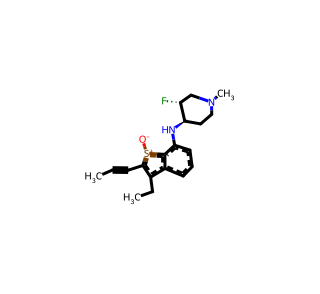 CC#Cc1c(CC)c2cccc(N[C@@H]3CCN(C)C[C@H]3F)c2[s+]1[O-]